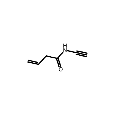 C#CNC(=O)CC=C